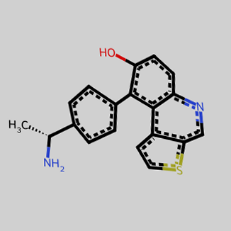 C[C@@H](N)c1ccc(-c2c(O)ccc3ncc4sccc4c23)cc1